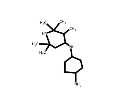 CC1C(NC2CCC(N)CC2)CC(C)(C)NC1(C)C